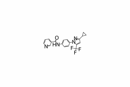 O=C(Nc1ccc(-n2nc(C3CC3)cc2C(F)(F)F)cc1)c1cccnc1